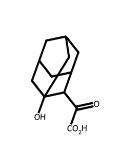 O=C(O)C(=O)C1C2CC3CC(C2)CC1(O)C3